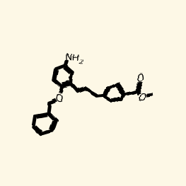 COC(=O)c1ccc(CCCc2cc(N)ccc2OCc2ccccc2)cc1